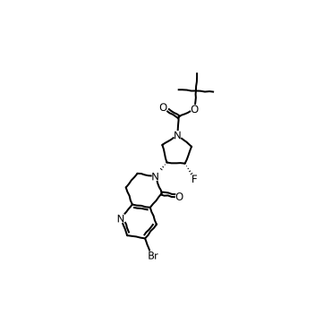 CC(C)(C)OC(=O)N1C[C@@H](N2CCc3ncc(Br)cc3C2=O)[C@@H](F)C1